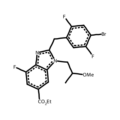 CCOC(=O)c1cc(F)c2nc(Cc3cc(F)c(Br)cc3F)n(CC(C)OC)c2c1